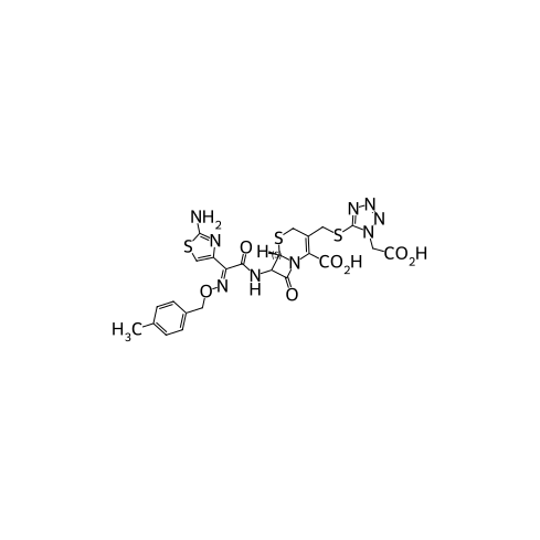 Cc1ccc(CON=C(C(=O)NC2C(=O)N3C(C(=O)O)=C(CSc4nnnn4CC(=O)O)CS[C@@H]23)c2csc(N)n2)cc1